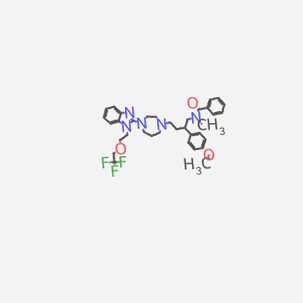 COc1ccc(C(CCN2CCCN(c3nc4ccccc4n3CCOCC(F)(F)F)CC2)CN(C)C(=O)c2ccccc2)cc1